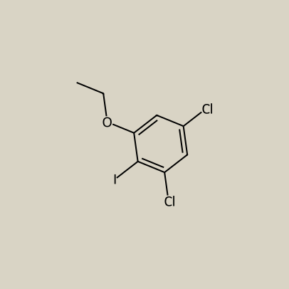 CCOc1cc(Cl)cc(Cl)c1I